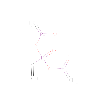 C=CP(=O)(OP(=C)=O)OP(=C)=O